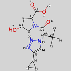 COC(=O)C1CC(O)CN1C(=O)[C@H](n1cc(C2CC2)nn1)C(C)(C)C